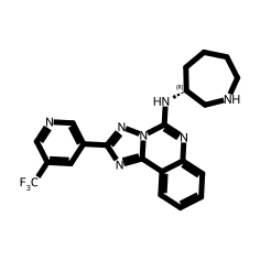 FC(F)(F)c1cncc(-c2nc3c4ccccc4nc(N[C@@H]4CCCCNC4)n3n2)c1